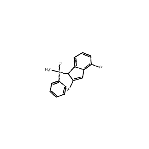 CC1=Cc2c(C(C)C)cccc2C1[Si](C)(Cl)c1ccccc1